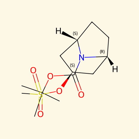 CC(C)(C)OC(=O)N1[C@@H]2CC[C@H]1C[C@H](OS(C)(=O)=O)C2